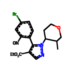 CCOC(=O)c1cnn(C2CCOCC2C)c1-c1ccc(Br)cc1N=O